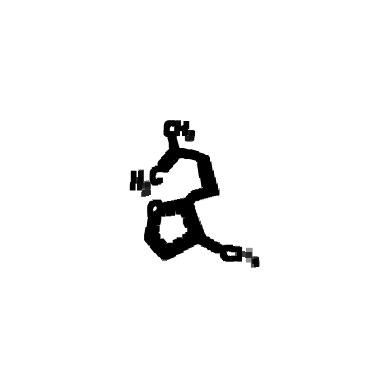 C=C(C)/C=C\c1occc1C